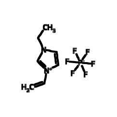 C=C[n+]1ccn(CC)c1.F[P-](F)(F)(F)(F)F